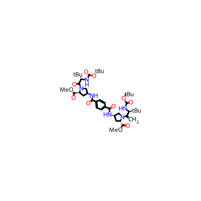 C=C([C@@H](NC(=O)OC(C)(C)C)C(C)(C)C)N1C[C@@H](NC(=O)c2ccc(C(=O)N[C@H]3C[C@@H](C(=O)OC)N(C(=O)[C@@H](NC(=O)OC(C)(C)C)C(C)(C)C)C3)cc2)C[C@H]1C(=O)OC